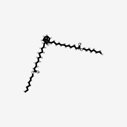 CCCCCCCCOC(=O)CCCCCCCCCCCC1(C)C=CC2CC1(CCCCCCCCCCCC(=O)OCCCCCCCC)C2(C)C